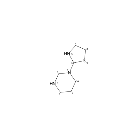 C1CNCN(C2NCCS2)C1